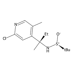 CC[C@](C)(N[S@@+]([O-])C(C)(C)C)c1cc(Cl)ncc1C